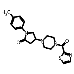 Cc1ccc(N2CC(N3CCN(C(=O)c4nccs4)CC3)CC2=O)cc1